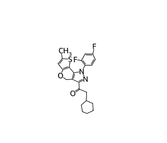 Cc1cc2c(s1)-c1c(c(C(=O)CC3CCCCC3)nn1-c1ccc(F)cc1F)CO2